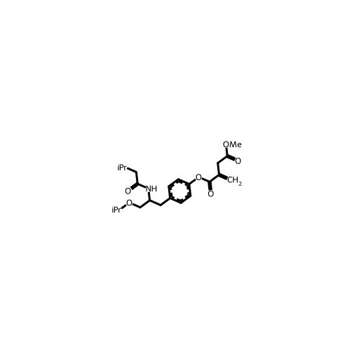 C=C(CC(=O)OC)C(=O)Oc1ccc(CC(COC(C)C)NC(=O)CC(C)C)cc1